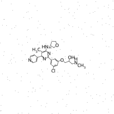 CNCC(O)COc1cc(Cl)cc(-c2nc(N[C@@H]3CCOC3)c(C)c(-c3ccncc3)n2)c1